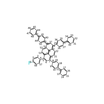 Fc1ccc(-c2cc(-c3ccc(-c4ccccc4)cc3)c3ccc4c(-c5ccc(-c6ccccc6)cc5)cc(-c5ccc(-c6ccccc6)cc5)c5ccc2c3c54)cc1